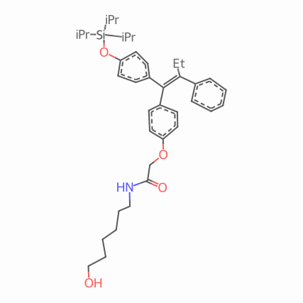 CCC(=C(c1ccc(OCC(=O)NCCCCCCO)cc1)c1ccc(O[Si](C(C)C)(C(C)C)C(C)C)cc1)c1ccccc1